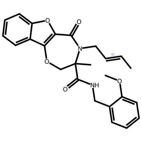 C/C=C/CN1C(=O)c2oc3ccccc3c2OCC1(C)C(=O)NCc1ccccc1OC